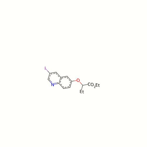 CCOC(=O)C(CC)Oc1ccc2ncc(I)cc2c1